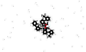 CCC(C)C1=Cc2c(-c3ccccc3C(F)(F)F)cccc2[CH]1[Zr]([Cl])([Cl])([c]1cccc2c1[SiH2]c1ccccc1-2)[CH]1C(C(C)CC)=Cc2c(-c3ccccc3C(F)(F)F)cccc21